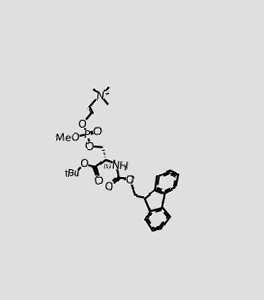 COP(=O)(OCC[N+](C)(C)C)OC[C@H](NC(=O)OCC1c2ccccc2-c2ccccc21)C(=O)OC(C)(C)C